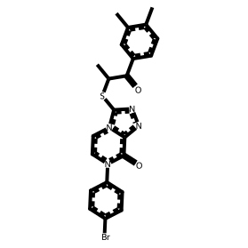 Cc1ccc(C(=O)C(C)Sc2nnc3c(=O)n(-c4ccc(Br)cc4)ccn23)cc1C